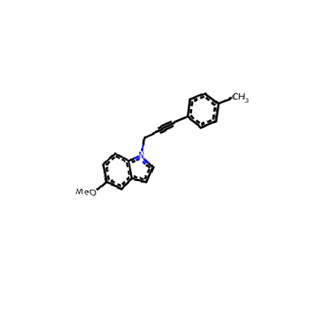 COc1ccc2c(ccn2CC#Cc2ccc(C)cc2)c1